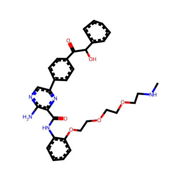 CNCCOCCOCCOc1ccccc1NC(=O)c1nc(-c2ccc(C(=O)C(O)c3ccccc3)cc2)cnc1N